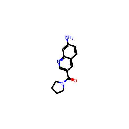 Nc1ccc2cc(C(=O)N3CCCC3)cnc2c1